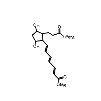 CCCCCC(=O)CCC1C(O)CC(O)C1C=CC=CC=CC(=O)OC